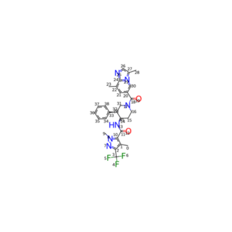 Cc1c(C(F)(F)F)nn(C)c1C(=O)N[C@@H]1CCN(C(=O)c2cc(C)c3ncc(C)n3c2)C[C@@H]1c1ccccc1